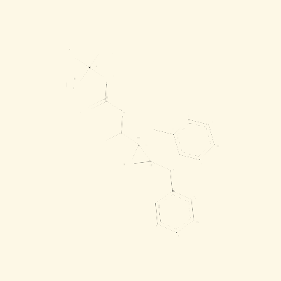 CC(NC(=O)OC(C)(C)C)[C@]1(Cc2ccccc2)OC1Cc1ccccc1